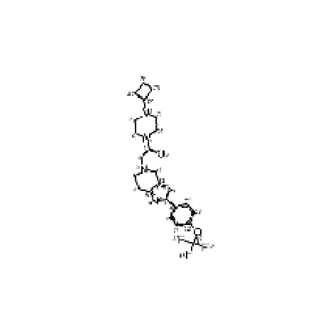 O=C(CN1CCc2nc(-c3ccc(OC(F)(F)F)cc3)sc2C1)N1CCN(C2CCC2)CC1